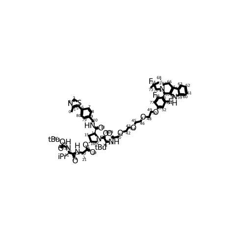 Cc1ncsc1-c1ccc(CNC(=O)[C@@H]2C[C@@H](OC(=O)[C@H](C)NC(=O)[C@@H](NC(=O)OC(C)(C)C)C(C)C)CN2C(=O)[C@@H](NC(=O)COCCOCCOCCOc2cc(F)c([C@@H]3c4[nH]c5ccccc5c4C[C@@H](C)N3CC(C)(C)F)c(F)c2)C(C)(C)C)cc1